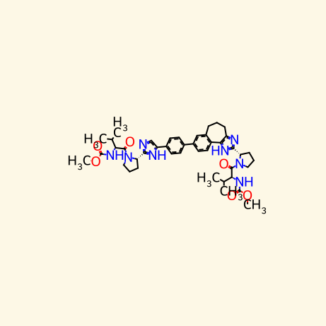 COC(=O)N[C@H](C(=O)N1CCC[C@H]1c1ncc(-c2ccc(-c3ccc4c(c3)CCCc3nc([C@@H]5CCCN5C(=O)[C@@H](NC(=O)OC)C(C)C)[nH]c3-4)cc2)[nH]1)C(C)C